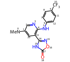 CNc1cnc(Nc2ccc(C(F)(F)F)cc2)c(-c2noc(=O)[nH]2)c1